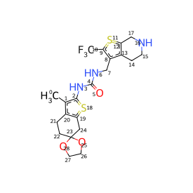 Cc1c(NC(=O)NCc2c(C(F)(F)F)sc3c2CCNC3)sc2c1CCC1(C2)OCCO1